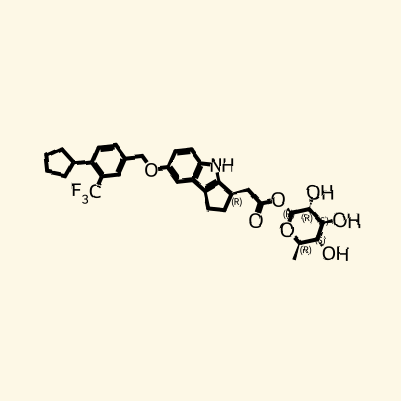 C[C@H]1O[C@H](OC(=O)C[C@H]2CCc3c2[nH]c2ccc(OCc4ccc(C5CCCC5)c(C(F)(F)F)c4)cc32)[C@H](O)[C@@H](O)[C@@H]1O